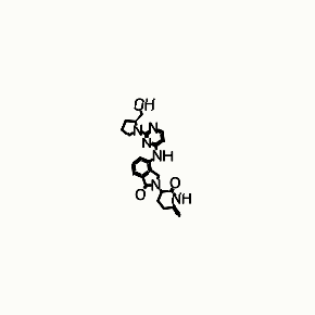 C=C1CCC(N2Cc3c(Nc4ccnc(N5CCC[C@H]5CO)n4)cccc3C2=O)C(=O)N1